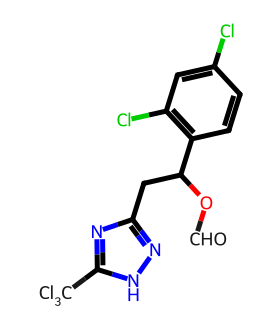 O=COC(Cc1n[nH]c(C(Cl)(Cl)Cl)n1)c1ccc(Cl)cc1Cl